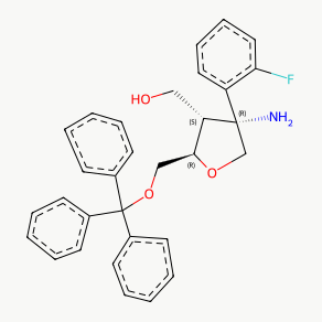 N[C@]1(c2ccccc2F)CO[C@@H](COC(c2ccccc2)(c2ccccc2)c2ccccc2)[C@@H]1CO